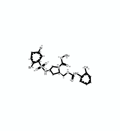 Cc1ccccc1NC(=O)OC[C@H]1C[C@@H](NS(=O)(=O)c2cc(Br)ccc2Br)CN1C(=O)OC(C)(C)C